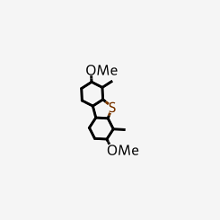 COC1CCC2C3CCC(OC)C(C)C3SC2C1C